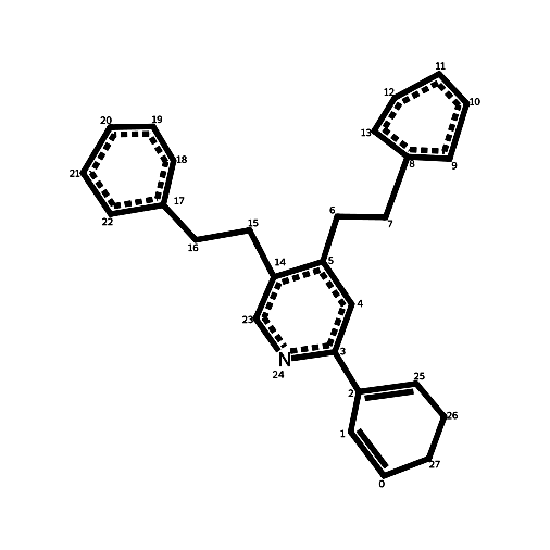 C1=CC(c2cc(CCc3ccccc3)c(CCc3ccccc3)cn2)=CCC1